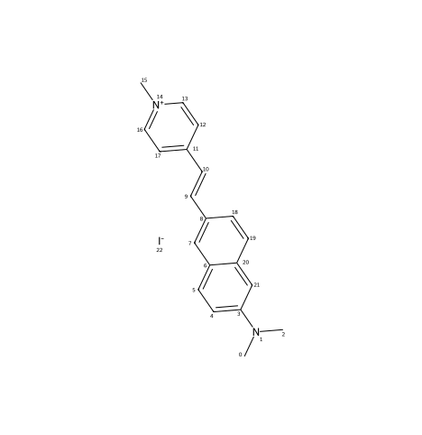 CN(C)c1ccc2cc(/C=C/c3cc[n+](C)cc3)ccc2c1.[I-]